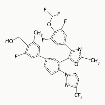 Cc1nc(-c2cc(F)c(OC(F)F)c(F)c2)c(-c2cc(-c3cc(C)c(CO)c(F)c3)ccc2-n2ccc(C(F)(F)F)n2)o1